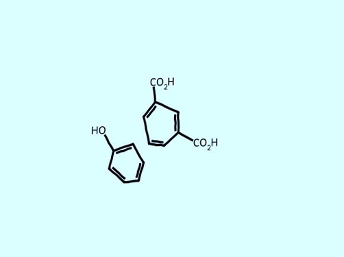 O=C(O)c1cccc(C(=O)O)c1.Oc1ccccc1